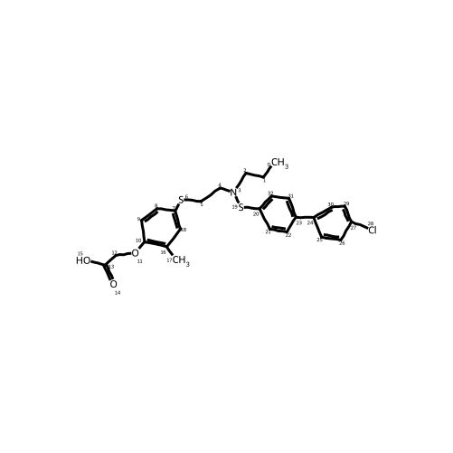 CCCN(CCSc1ccc(OCC(=O)O)c(C)c1)Sc1ccc(-c2ccc(Cl)cc2)cc1